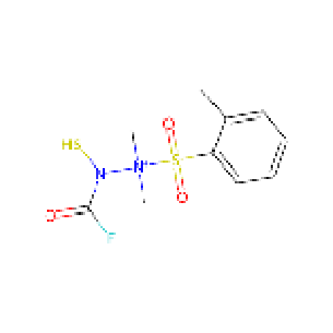 Cc1ccccc1S(=O)(=O)[N+](C)(C)N(S)C(=O)F